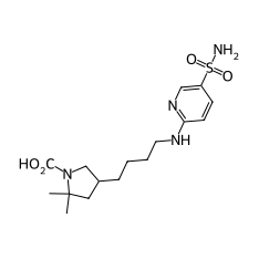 CC1(C)CC(CCCCNc2ccc(S(N)(=O)=O)cn2)CN1C(=O)O